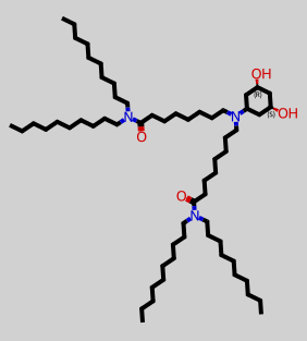 CCCCCCCCCCN(CCCCCCCCCC)C(=O)CCCCCCCN(CCCCCCCC(=O)N(CCCCCCCCCC)CCCCCCCCCC)C1C[C@@H](O)C[C@@H](O)C1